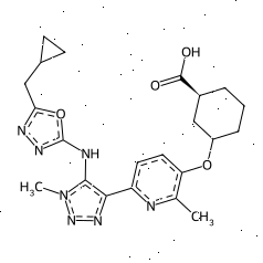 Cc1nc(-c2nnn(C)c2Nc2nnc(CC3CC3)o2)ccc1OC1CCC[C@H](C(=O)O)C1